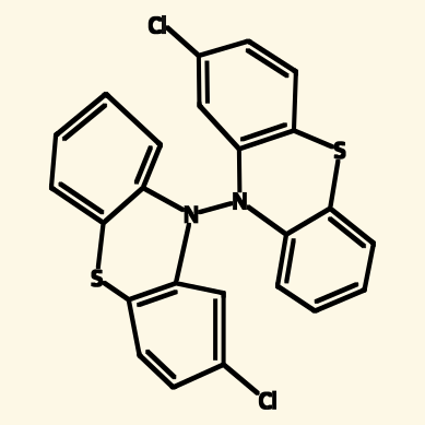 Clc1ccc2c(c1)N(N1c3ccccc3Sc3ccc(Cl)cc31)c1ccccc1S2